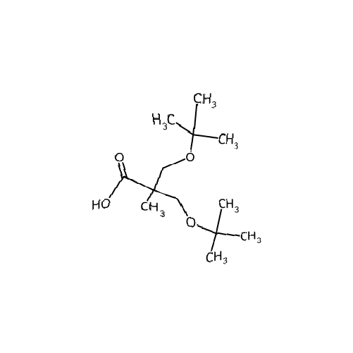 CC(C)(C)OCC(C)(COC(C)(C)C)C(=O)O